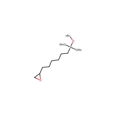 CCCCO[Si](CCCCCCC1CO1)(OC)OC